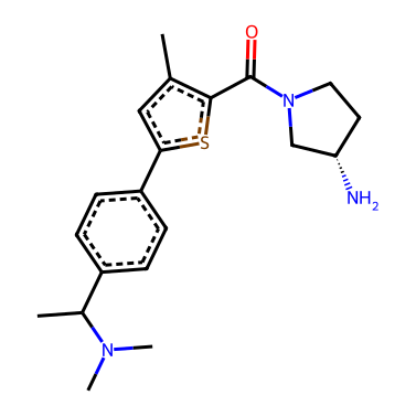 Cc1cc(-c2ccc(C(C)N(C)C)cc2)sc1C(=O)N1CC[C@H](N)C1